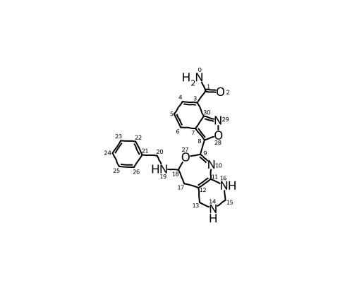 NC(=O)c1cccc2c(C3=NC4=C(CNCN4)CC(NCc4ccccc4)O3)onc12